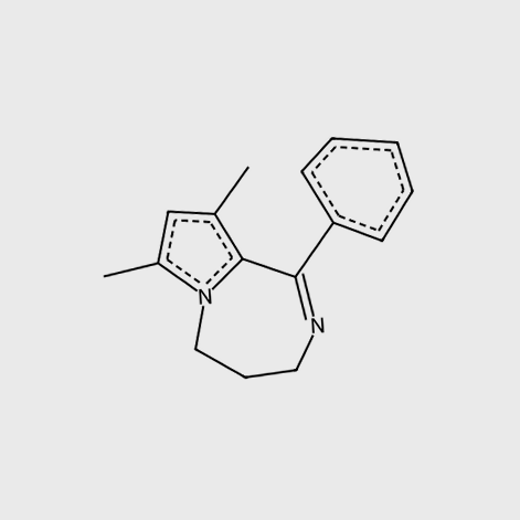 Cc1cc(C)n2c1C(c1ccccc1)=NCCC2